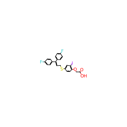 O=C(O)COc1ccc(SCC=C(c2ccc(F)cc2)c2ccc(F)cc2)cc1I